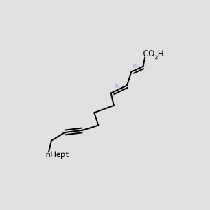 CCCCCCCCC#CCCC/C=C/C=C/C(=O)O